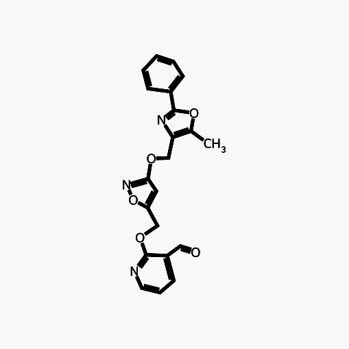 Cc1oc(-c2ccccc2)nc1COc1cc(COc2ncccc2C=O)on1